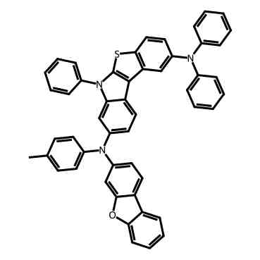 Cc1ccc(N(c2ccc3c(c2)oc2ccccc23)c2ccc3c4c5cc(N(c6ccccc6)c6ccccc6)ccc5sc4n(-c4ccccc4)c3c2)cc1